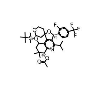 CC(=O)O[C@H]1c2nc(C(C)C)c3c(c2C(O[Si](C)(C)C(C)(C)C)CC1(C)C)C1(CCOCC1)O[C@@H]3c1ccc(C(F)(F)F)cc1F